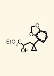 CCOC(=O)C(O)CC1(c2cccc3c2OCO3)CC1